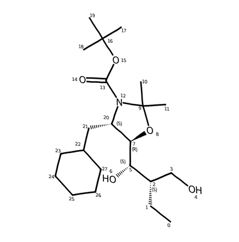 CC[C@@H](CO)[C@H](O)[C@@H]1OC(C)(C)N(C(=O)OC(C)(C)C)[C@H]1CC1CCCCC1